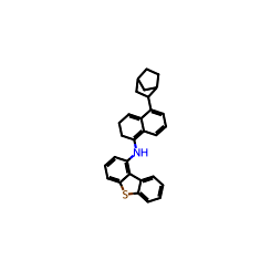 C1=c2c(C3CC4CCC3C4)cccc2=C(Nc2cccc3sc4ccccc4c23)CC1